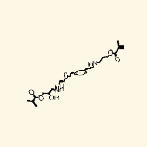 C=C(C)C(=O)OCCCNCCOCCOCCNCC(O)COC(=O)C(=C)C